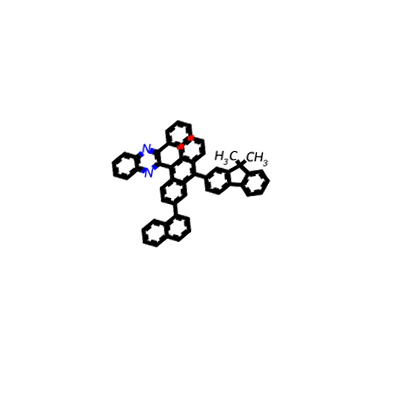 CC1(C)c2ccccc2-c2ccc(-c3c4ccccc4c(-c4nc5ccccc5nc4-c4ccccc4)c4ccc(-c5cccc6ccccc56)cc34)cc21